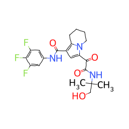 CC(C)(CO)NC(=O)C(=O)c1cc(C(=O)Nc2cc(F)c(F)c(F)c2)c2n1CCCC2